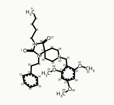 CCCCCN1C(=O)N(CCc2ccccc2)C2(CCN(Cc3c(OC)cc(OC)cc3OC)CC2)C1=O